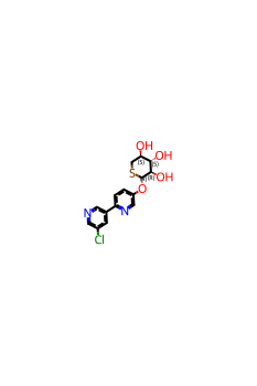 O[C@@H]1[C@@H](O)[C@H](Oc2ccc(-c3cncc(Cl)c3)nc2)SC[C@H]1O